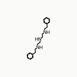 c1ccc(CCNCCNCCNCCc2ccccc2)cc1